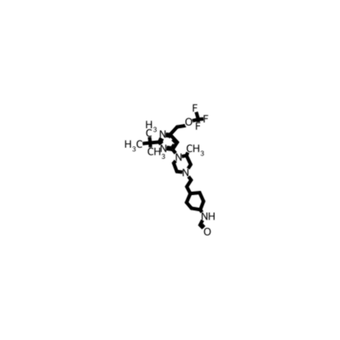 CC1CN(CCC2CCC(NC=O)CC2)CCN1c1cc(CCOC(F)(F)F)nc(C(C)(C)C)n1